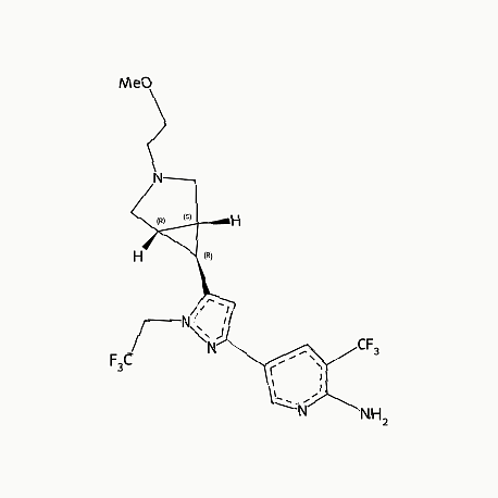 COCCN1C[C@@H]2[C@H](C1)[C@H]2c1cc(-c2cnc(N)c(C(F)(F)F)c2)nn1CC(F)(F)F